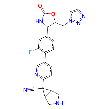 N#CC1(c2ccc(-c3ccc(C4NC(=O)OC4Cn4ccnn4)cc3F)cn2)C2CNCC21